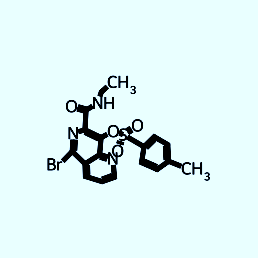 CCNC(=O)c1nc(Br)c2cccnc2c1OS(=O)(=O)c1ccc(C)cc1